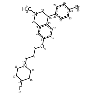 CN1Cc2cc(OCCCN3CCC(F)CC3)ccc2C(c2ccc(Br)cc2)C1